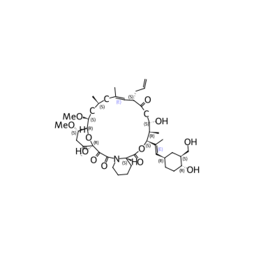 C=CC[C@H]1/C=C(\C)C[C@H](C)C[C@H](OC)[C@H]2O[C@@](O)(C(=O)C(=O)N3CCCC[C@H]3C(=O)O[C@H](/C(C)=C/[C@@H]3CC[C@@H](O)[C@H](CO)C3)[C@H](C)[C@@H](O)CC1=O)[C@H](C)C[C@@H]2OC